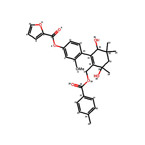 COc1cc(OC(=O)c2ccco2)ccc1C1=C(COC(=O)c2ccc(C)cc2)C(C)(O)CC(C)(C)C1O